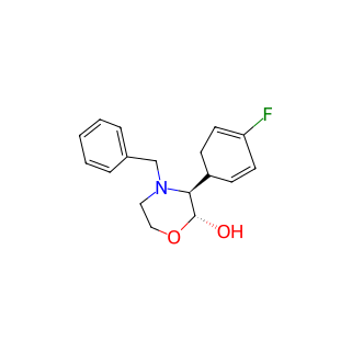 O[C@@H]1OCCN(Cc2ccccc2)[C@H]1C1C=CC(F)=CC1